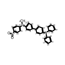 CN(c1ccc(-c2ccc(N(c3ccccc3)c3ccccc3)cc2)cc1)c1ccc([N+](=O)[O-])cc1